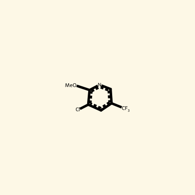 COc1ncc(C(F)(F)F)cc1Cl